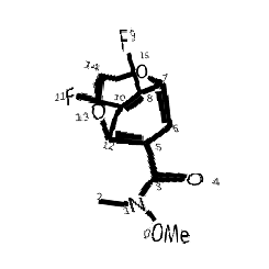 CON(C)C(=O)c1cc2c(F)c(F)c1OCO2